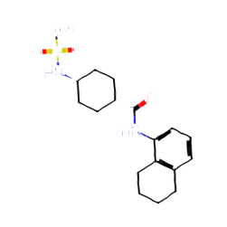 CC(C)(C)S(=O)(=O)N[C@H]1CC[C@H](C(=O)Nc2cccc3c2CCCC3)CC1